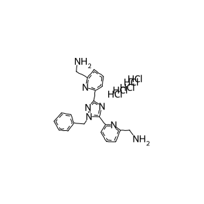 Cl.Cl.Cl.Cl.Cl.NCc1cccc(-c2nc(-c3cccc(CN)n3)n(Cc3ccccc3)n2)n1